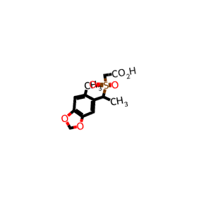 Cc1cc2c(cc1C(C)S(=O)(=O)CC(=O)O)OCO2